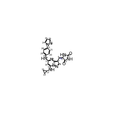 O=C1NC(=O)/C(=C\c2cnn3c(NC4CC4)cc(Nc4ccc(-n5cccn5)cc4)nc23)N1